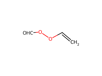 C=COOC=O